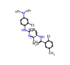 C=C(/N=C(C)\C(=C/C)NC(=C)c1cc(C)ccc1CC)Nc1ccc(N(CCC)CCC)cc1CC